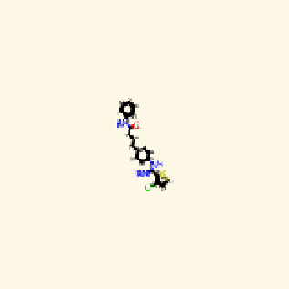 N=C(Nc1ccc(CCCC(=O)Nc2ccccc2)cc1)c1sccc1Cl